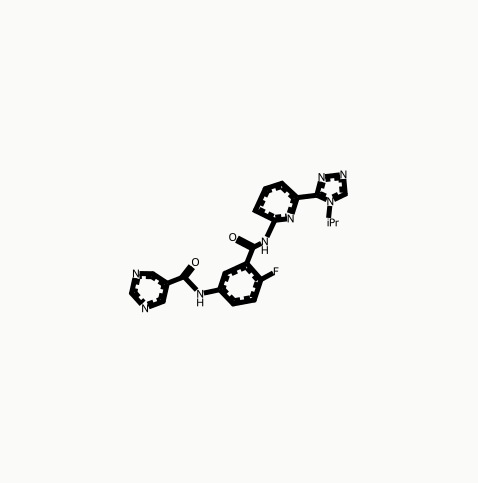 CC(C)n1cnnc1-c1cccc(NC(=O)c2cc(NC(=O)c3cncnc3)ccc2F)n1